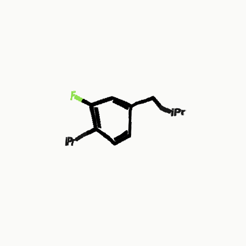 CC(C)Cc1ccc(C(C)C)c(F)c1